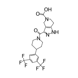 O=C(O)N1CCc2[nH]nc(C(=O)N3CCC(c4cc(C(F)(F)F)cc(C(F)(F)F)c4)CC3)c2C1